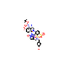 COc1ccc(CN(Cc2ccc(OC)cc2)S(=O)(=O)c2c(S(=O)O)ccc(N3CCC(CNC(=O)OC(C)(C)C)CC3)c2-c2nnnn2Cc2ccc(OC)cc2)cc1